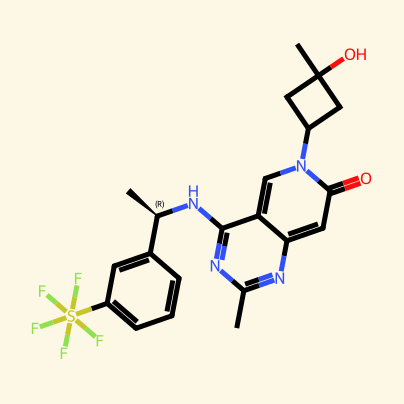 Cc1nc(N[C@H](C)c2cccc(S(F)(F)(F)(F)F)c2)c2cn(C3CC(C)(O)C3)c(=O)cc2n1